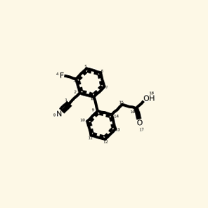 N#Cc1c(F)cccc1-c1ccccc1CC(=O)O